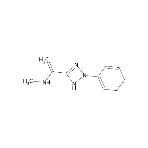 C=C(NC)c1nn(C2=CCCC=C2)[nH]1